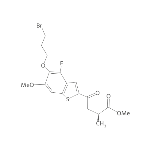 COC(=O)[C@@H](C)CC(=O)c1cc2c(F)c(OCCCBr)c(OC)cc2s1